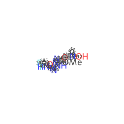 C=CCc1ccccc1N(CCO)CCCOc1cc2ncnc(Nc3cnn(CC(=O)Nc4cccc(F)c4F)c3)c2cc1OC